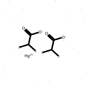 O=C([O-])C(I)I.O=C([O-])C(I)I.[Hg+2]